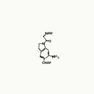 CNCC(=O)N1CCc2cc(OC)c(N)cc21